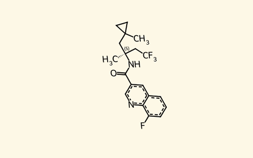 CC1(C[C@@](C)(CC(F)(F)F)NC(=O)c2cnc3c(F)cccc3c2)CC1